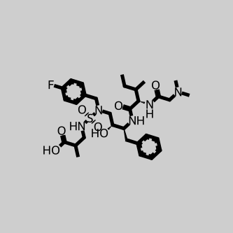 CCC(C)[C@H](NC(=O)CN(C)C)C(=O)N[C@@H](Cc1ccccc1)[C@H](O)CN(Cc1ccc(F)cc1)S(=O)(=O)NCC(C)C(=O)O